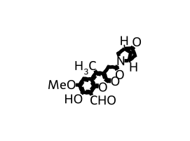 COc1cc2c(C)c(CC(=O)N3C[C@@H]4C[C@H]3CC4=O)c(=O)oc2c(C=O)c1O